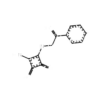 C=C(CNc1c(N)c(=O)c1=O)c1ccccc1